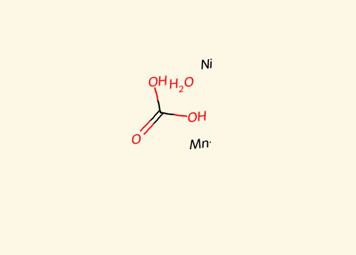 O.O=C(O)O.[Mn].[Ni]